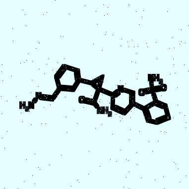 NN=Cc1cccc(C2CC2(C(N)=O)c2ccc(-c3ccccc3S(N)(=O)=O)cn2)c1